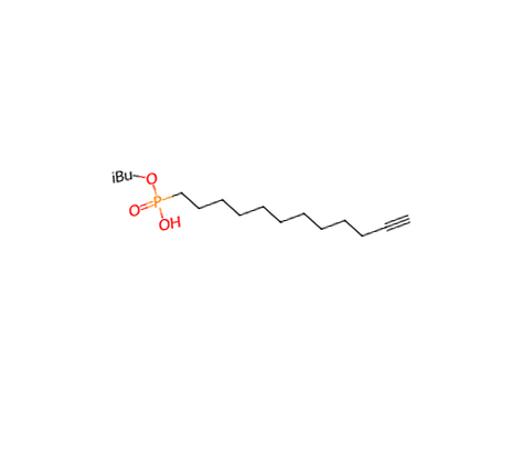 C#CCCCCCCCCCCP(=O)(O)OC(C)CC